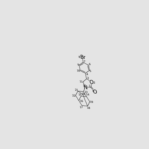 O=C1OC(c2ccc(Br)cc2)CN1C1C2CC3CC(C2)CC1C3